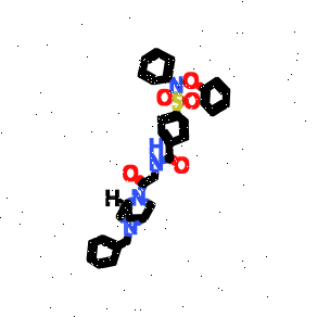 O=C(NCC(=O)N1CC2C[C@H]1CN2Cc1ccccc1)c1ccc(S(=O)(=O)N(Oc2ccccc2)c2ccccc2)cc1